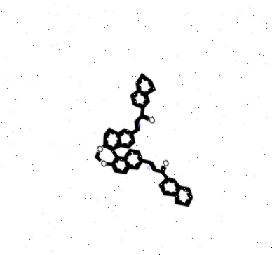 O=C(/C=C/c1ccc2c3c(ccc2c1)OCOc1ccc2cc(/C=C/C(=O)c4ccc5ccccc5c4)ccc2c1-3)c1ccc2ccccc2c1